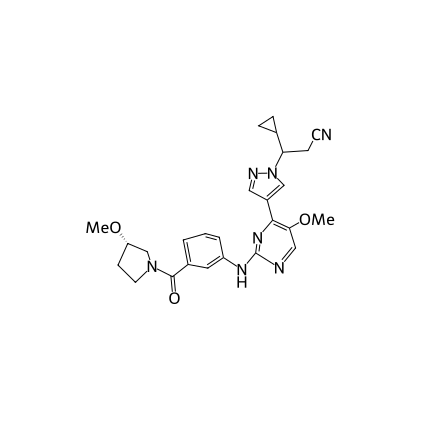 COc1cnc(Nc2cccc(C(=O)N3CC[C@H](OC)C3)c2)nc1-c1cnn(C(CC#N)C2CC2)c1